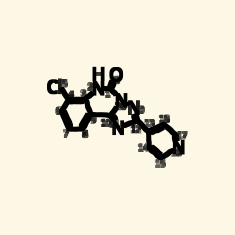 O=c1[nH]c2c(Cl)cccc2c2nc(-c3ccncc3)nn12